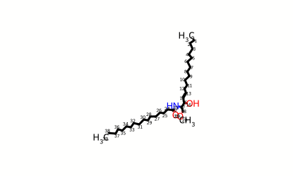 CCCCCCCCCCCCC/C=C/C(O)C(COC)NC(=O)CCCCCCCCCCCCCCCC